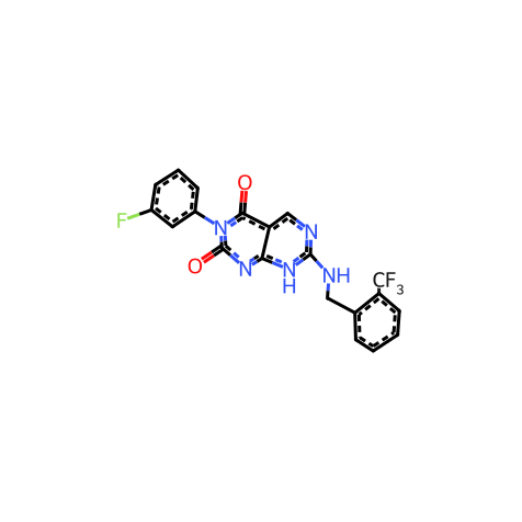 O=c1nc2[nH]c(NCc3ccccc3C(F)(F)F)ncc-2c(=O)n1-c1cccc(F)c1